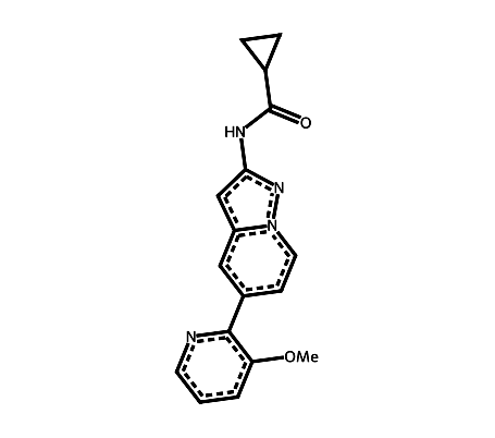 COc1cccnc1-c1ccn2nc(NC(=O)C3CC3)cc2c1